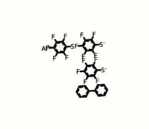 Fc1c(F)c(F)c([S-])c(F)c1F.Fc1c(F)c(F)c([S-])c(F)c1F.Fc1c(F)c(F)c([S-])c(F)c1F.[Al+3].c1ccc(-c2ccccc2)cc1